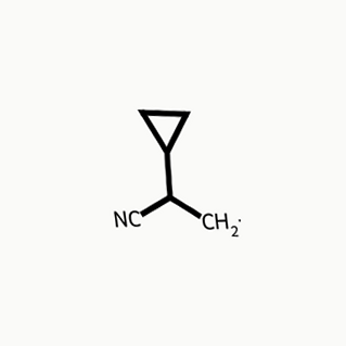 [CH2]C(C#N)C1CC1